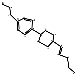 CCCC=CC1CCC(c2ccc(CCC)cc2)CC1